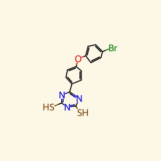 Sc1nc(S)nc(-c2ccc(Oc3ccc(Br)cc3)cc2)n1